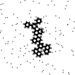 c1ccc(-c2nc(-c3ccccc3)nc(-c3ccc(-c4ccc(-c5nc(-c6cccc7ccccc67)cc(-c6cccc7ccccc67)n5)c5ccccc45)c4ccccc34)n2)cc1